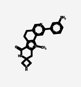 Cn1c2c(c3c1-c1cc(-c4cccc(N)c4)ncc1CC3)C(=O)NC1(CNC1)C2